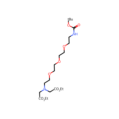 CCOC(=O)CN(CCOCCOCCOCCNC(=O)OC(C)(C)C)CC(=O)OCC